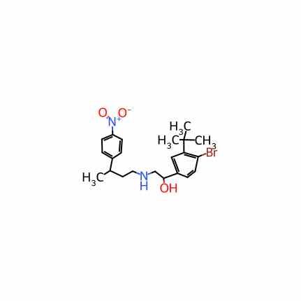 CC(CCNCC(O)c1ccc(Br)c(C(C)(C)C)c1)c1ccc([N+](=O)[O-])cc1